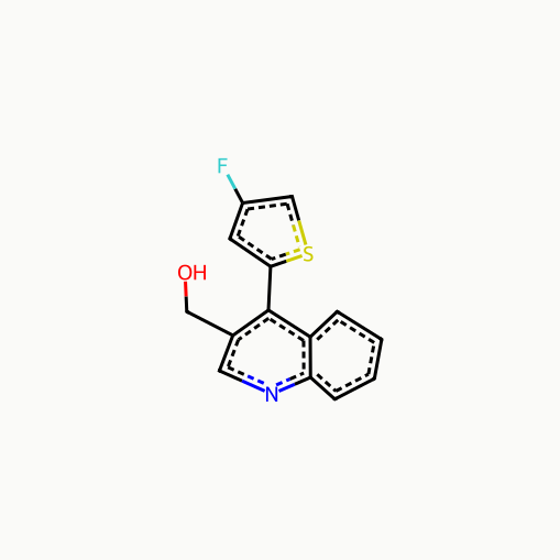 OCc1cnc2ccccc2c1-c1cc(F)cs1